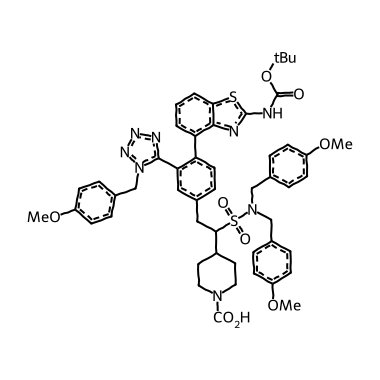 COc1ccc(CN(Cc2ccc(OC)cc2)S(=O)(=O)C(Cc2ccc(-c3cccc4sc(NC(=O)OC(C)(C)C)nc34)c(-c3nnnn3Cc3ccc(OC)cc3)c2)C2CCN(C(=O)O)CC2)cc1